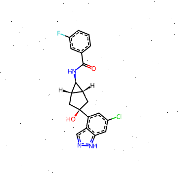 O=C(N[C@H]1[C@@H]2C[C@](O)(c3cc(Cl)cc4[nH]ncc34)C[C@@H]21)c1cccc(F)c1